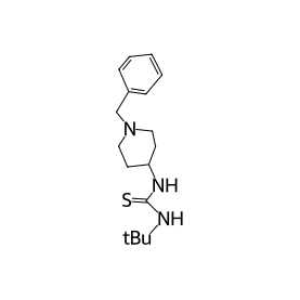 CC(C)(C)NC(=S)NC1CCN(Cc2ccccc2)CC1